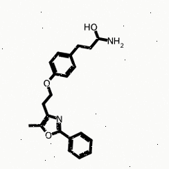 Cc1oc(-c2ccccc2)nc1CCOc1ccc(CCC(N)O)cc1